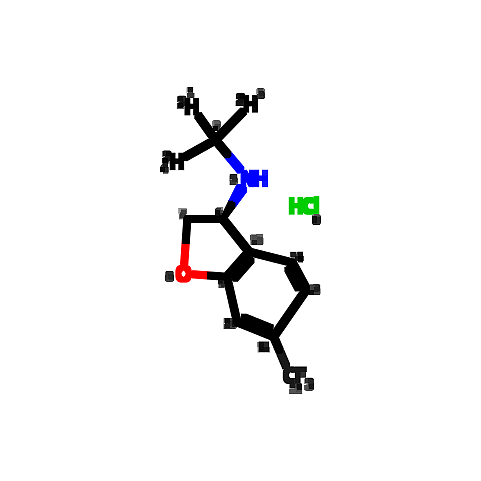 Cl.[2H]C([2H])([2H])N[C@@H]1COc2cc(C(F)(F)F)ccc21